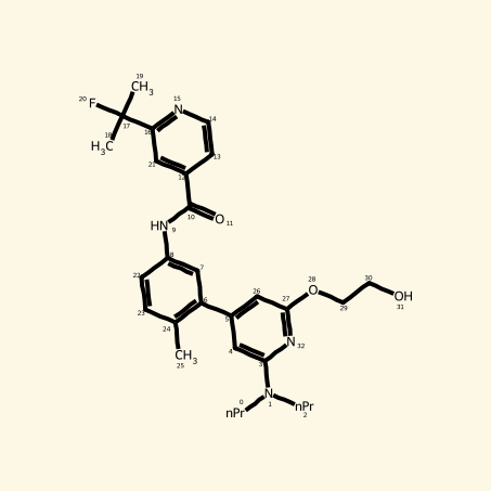 CCCN(CCC)c1cc(-c2cc(NC(=O)c3ccnc(C(C)(C)F)c3)ccc2C)cc(OCCO)n1